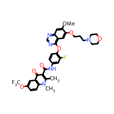 COc1cc2ncnc(Oc3ccc(NC(=O)c4c(C)n(C)c5ccc(OC(F)(F)F)cc5c4=O)cc3F)c2cc1OCCCN1CCOCC1